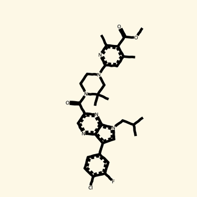 COC(=O)c1c(C)cc(N2CCN(C(=O)c3cnc4c(-c5ccc(Cl)c(F)c5)cn(CC(C)C)c4n3)C(C)(C)C2)nc1C